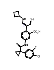 N=C/C(=C\NC1CCC1)c1ccc(NC(=O)C2(c3ccc(Cl)c(F)c3)CC2)cc1C(=O)O